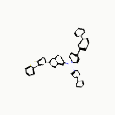 c1ccc(-c2ccc(N(c3ccc(-c4cccc(-c5ccccc5)c4)cc3)c3ccc4cc(-c5ccc6sc7ccccc7c6c5)ccc4c3)cc2)cc1